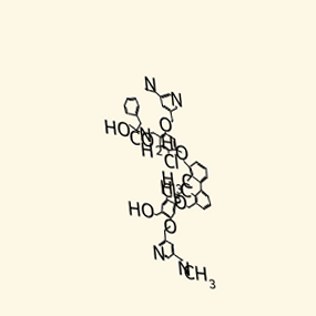 C/N=C/c1cncc(COc2cc(OCc3cccc(-c4cccc(COc5cc(OCc6cncc(C7C=N7)c6)c(CNC(CO)(Cc6ccccc6)C(=O)O)cc5Cl)c4C)c3C)c(Cl)cc2CO)c1